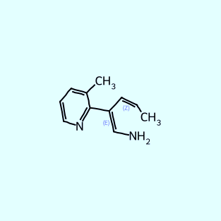 C/C=C\C(=C/N)c1ncccc1C